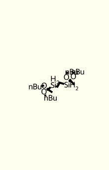 CCCCOC(C)(OCCCC)[SiH2]CC[SiH2]C(C)(OCCCC)OCCCC